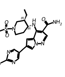 CC[C@@H]1CN(S(C)(=O)=O)CC[C@H]1Nc1c(C(N)=O)cnn2cc(-c3cnc(OC)nc3)cc12